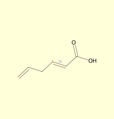 C=CC/[C]=C/C(=O)O